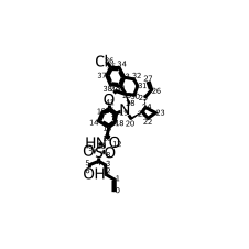 C=CCCC(CO)S(=O)(=O)NC(=O)c1ccc2c(c1)N(C[C@@H]1CC[C@H]1CC=C)C[C@@]1(CCCc3cc(Cl)ccc31)CO2